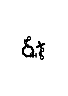 CC(C)(C)OC=O.O=NN1CCCNCC1